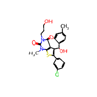 Cc1ccc(C(O)c2c(-c3cccc(Cl)c3)sc3c2c(=O)n(CCCO)c(=O)n3C)cc1